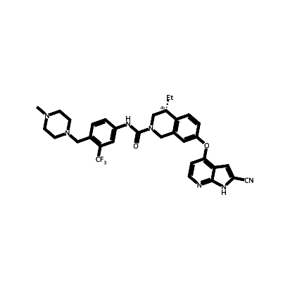 CC[C@H]1CN(C(=O)Nc2ccc(CN3CCN(C)CC3)c(C(F)(F)F)c2)Cc2cc(Oc3ccnc4[nH]c(C#N)cc34)ccc21